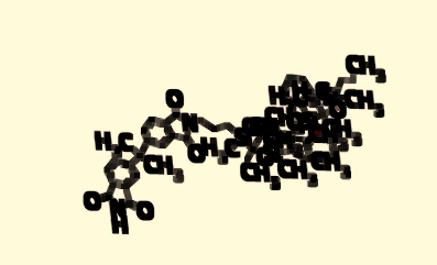 CCC[Si](C)(C)OC(C)(CC)[Si](OC(CC)(CC)C(CC)[Si](C)(C)OC(CC)(CC)[Si](C)(C)CCCN1C(=O)c2ccc(C(C)(C)c3ccc4c(c3)C(=O)NC4=O)cc2C1=O)(c1ccccc1)c1ccccc1